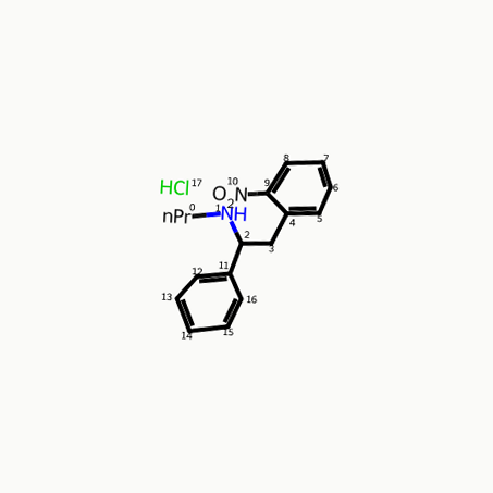 CCCNC(Cc1ccccc1[N+](=O)[O-])c1ccccc1.Cl